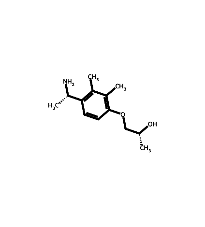 Cc1c(OC[C@@H](C)O)ccc([C@H](C)N)c1C